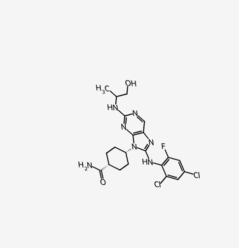 CC(CO)Nc1ncc2nc(Nc3c(F)cc(Cl)cc3Cl)n([C@H]3CC[C@@H](C(N)=O)CC3)c2n1